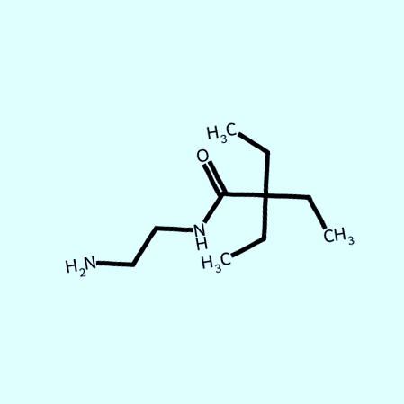 CCC(CC)(CC)C(=O)NCCN